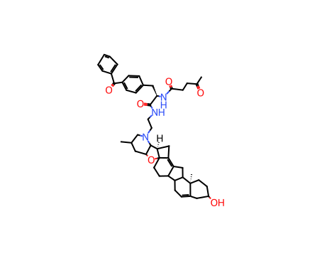 CC(=O)CCC(=O)N[C@H](Cc1ccc(C(=O)c2ccccc2)cc1)C(=O)NCCN1CC(C)CC2OC34CCC5C(=C3C[C@@H]4C21)CC1C5CC=C2CC(O)CC[C@@]21C